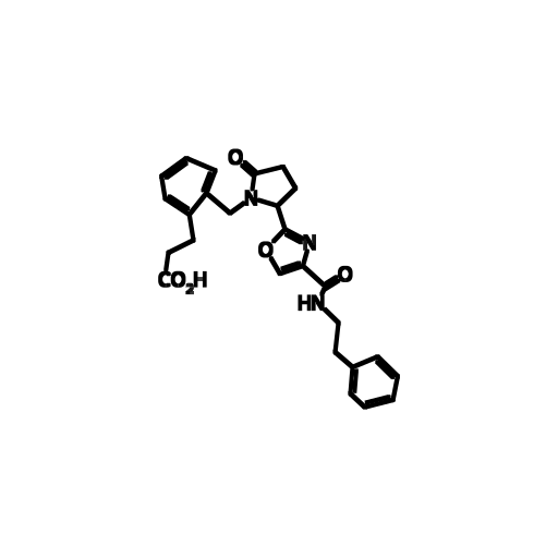 O=C(O)CCc1ccccc1CN1C(=O)CCC1c1nc(C(=O)NCCc2ccccc2)co1